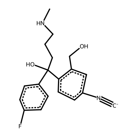 [C-]#[N+]c1ccc(C(O)(CCCNC)c2ccc(F)cc2)c(CO)c1